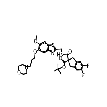 COc1cc2sc(CNC(=O)C3(C(=O)OC(C)(C)C)Cc4cc(F)c(F)cc4C3)nc2cc1OCCCN1CCOCC1